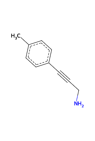 Cc1ccc(C#CCN)cc1